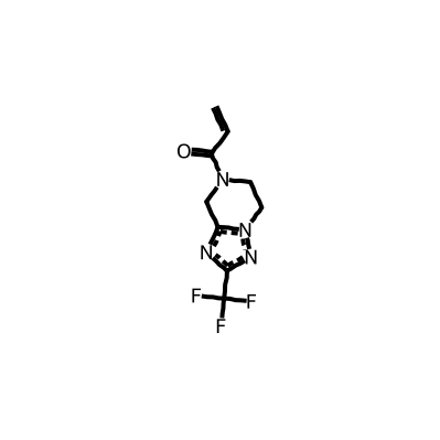 C=CC(=O)N1CCn2nc(C(F)(F)F)nc2C1